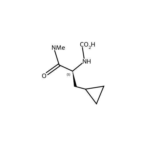 CNC(=O)[C@H](CC1CC1)NC(=O)O